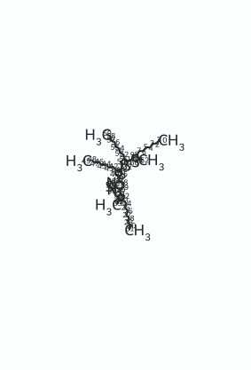 CCCCCCCCc1cc(-c2sc(-c3sc(-c4ccc(-c5cc(CCCCCCCC)c(C)s5)c5nsnc45)cc3CCCCCCCC)cc2CCCCCCCC)sc1C